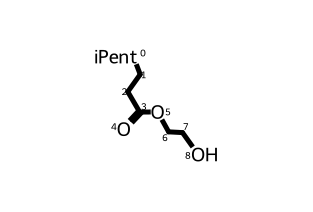 CCCC(C)CCC(=O)OCCO